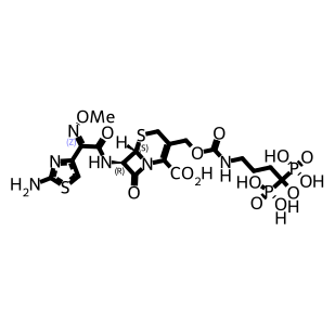 CO/N=C(\C(=O)N[C@@H]1C(=O)N2C(C(=O)O)=C(COC(=O)NCCCC(O)(P(=O)(O)O)P(=O)(O)O)CS[C@@H]12)c1csc(N)n1